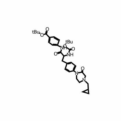 CC(C)(C)OC(=O)NC(Cc1ccc(N2CCN(CC3CC3)CC2=O)cc1)C(=O)Nc1ccc(C(=O)OC(C)(C)C)cc1